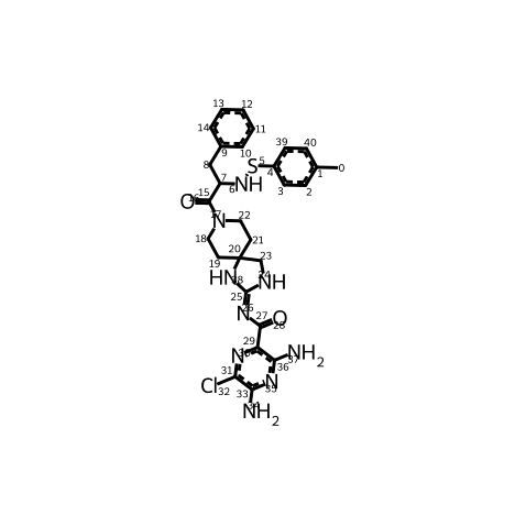 Cc1ccc(SNC(Cc2ccccc2)C(=O)N2CCC3(CC2)CN/C(=N\C(=O)c2nc(Cl)c(N)nc2N)N3)cc1